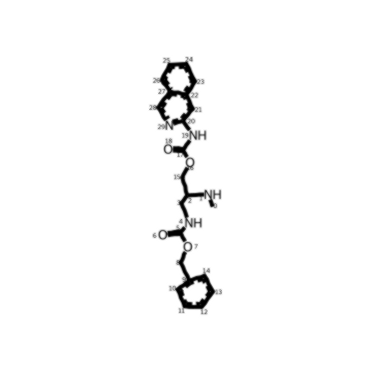 CNC(CNC(=O)OCc1ccccc1)COC(=O)Nc1cc2ccccc2cn1